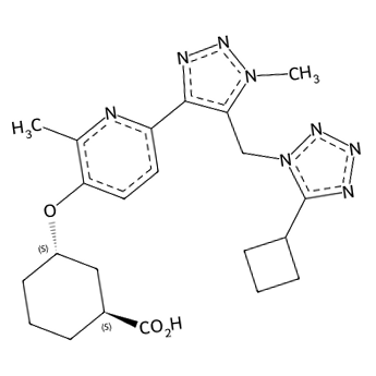 Cc1nc(-c2nnn(C)c2Cn2nnnc2C2CCC2)ccc1O[C@H]1CCC[C@H](C(=O)O)C1